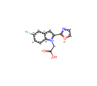 O=C(O)Cn1c(-c2ncco2)cc2cc(F)ccc21